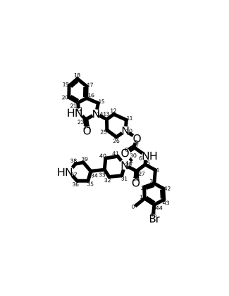 Cc1cc(CC(NC(=O)ON2CCC(N3Cc4ccccc4NC3=O)CC2)C(=O)[N+]2(C)CCC(C3CCNCC3)CC2)ccc1Br